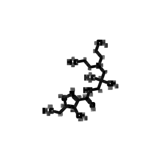 CCCN(CCC)CC(C)(C)CNC(=O)c1noc(CC)c1C